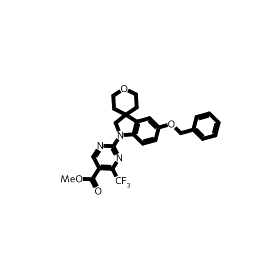 COC(=O)c1cnc(N2CC3(CCOCC3)c3cc(OCc4ccccc4)ccc32)nc1C(F)(F)F